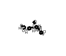 O=C1CCC(Nc2ccc(CNc3cc4c(Nc5ccc(F)c(Cl)c5)ncnc4cc3O[C@H]3CCOC3)cc2)C(=O)N1